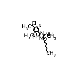 CCCCCCOc1nc(Br)c(-c2ccc(C(C)C)cc2OC)nc1NC